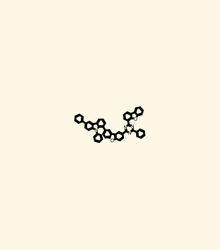 c1ccc(-c2ccc3c(c2)c2cccc(-c4ccc5oc6ccc(-c7nc(-c8ccccc8)nc(-c8cccc9c8oc8ccccc89)n7)cc6c5c4)c2n3-c2ccccc2)cc1